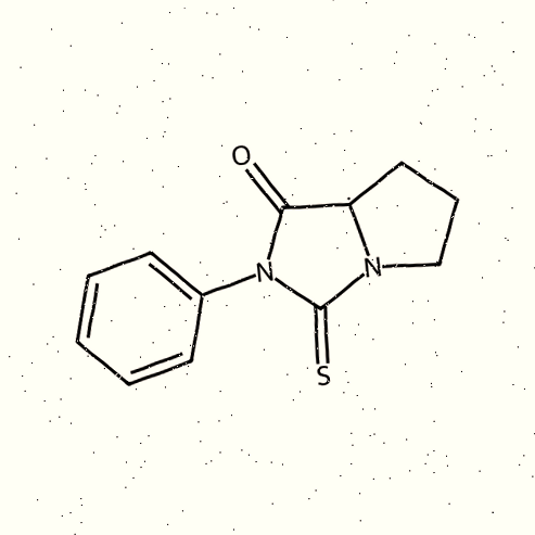 O=C1[C]2CCCN2C(=S)N1c1ccccc1